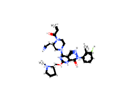 C=CC(=O)N1CCN(c2nc(OC[C@@H]3CCCN3C)nc3c(=O)n(-c4cccc(F)c4C)ncc23)C[C@H]1CC#N